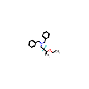 C=C(OCC)C(F)(F)CN(Cc1ccccc1)Cc1ccccc1